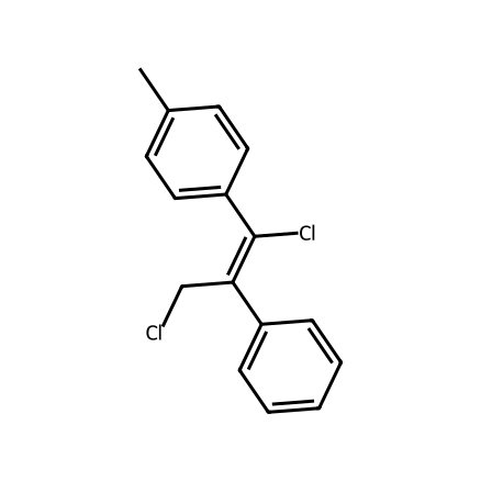 Cc1ccc(C(Cl)=C(CCl)c2ccccc2)cc1